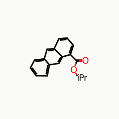 CC(C)OC(=O)c1cccc2cc3ccccc3cc12